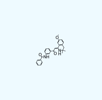 COc1ccc2c(c1)C(=CC(=O)c1cccc(NC(=O)c3ccccc3)c1)NC(C)(C)C2